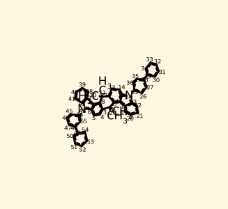 CC1(C)c2ccc3c(c2C(C)(C)c2ccc4c(c21)c1ccccc1n4-c1ccc(-c2ccccc2)cc1)c1ccccc1n3-c1cccc(-c2ccccc2)c1